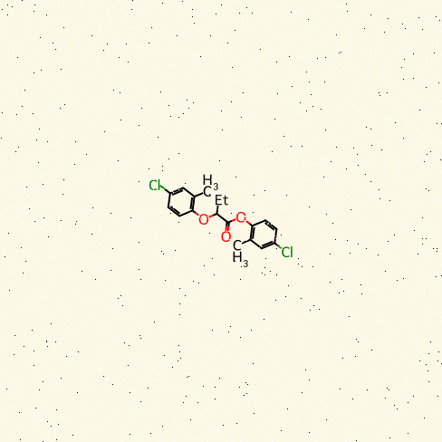 CCC(Oc1ccc(Cl)cc1C)C(=O)Oc1ccc(Cl)cc1C